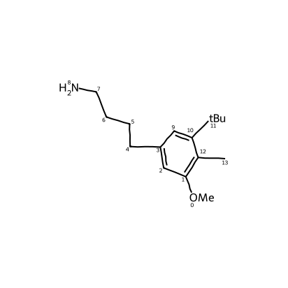 COc1cc(CCCCN)cc(C(C)(C)C)c1C